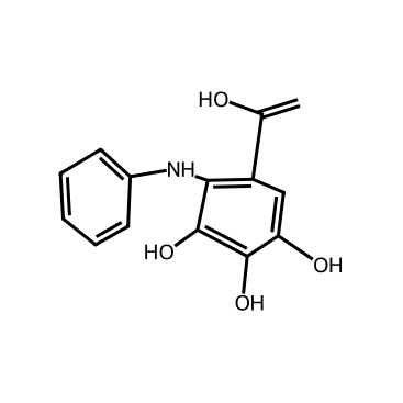 C=C(O)c1cc(O)c(O)c(O)c1Nc1ccccc1